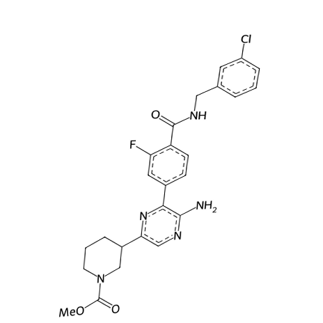 COC(=O)N1CCCC(c2cnc(N)c(-c3ccc(C(=O)NCc4cccc(Cl)c4)c(F)c3)n2)C1